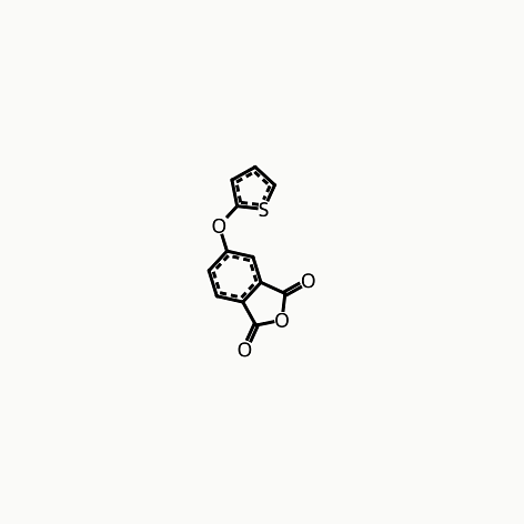 O=C1OC(=O)c2cc(Oc3cccs3)ccc21